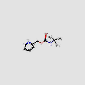 CC(C)(C)NC(=O)OCc1ccccn1